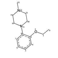 CCOc1ccccc1N1CCN(C)CC1